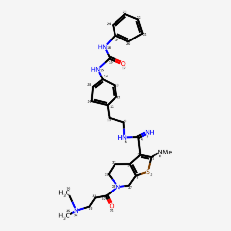 CNc1sc2c(c1C(=N)NCCc1ccc(NC(=O)Nc3ccccc3)cc1)CCN(C(=O)CCN(C)C)C2